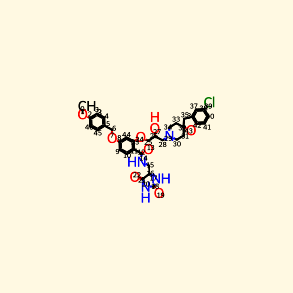 COc1ccc(COc2ccc(C(=O)NC[C@H]3NC(=O)NC3=O)c(OC[C@@H](O)CN3CCC4(CC3)Cc3cc(Cl)ccc3O4)c2)cc1